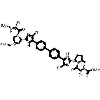 COC[C@H]1C[C@@H](c2nc(Cl)c(-c3ccc(-c4ccc(-c5[nH]c([C@@H]6CCC(C)N6C(=O)[C@H](NC(=O)OC)C(C)C)nc5Cl)cc4)cc3)[nH]2)N(C(=O)[C@@H](NC(=O)O)C(C)C)C1